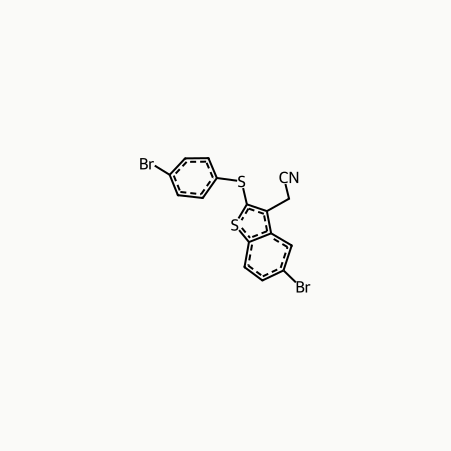 N#CCc1c(Sc2ccc(Br)cc2)sc2ccc(Br)cc12